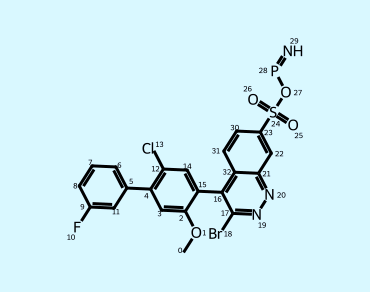 COc1cc(-c2cccc(F)c2)c(Cl)cc1-c1c(Br)nnc2cc(S(=O)(=O)OP=N)ccc12